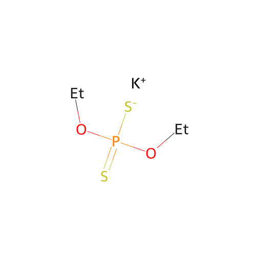 CCOP(=S)([S-])OCC.[K+]